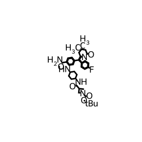 CC1(C)CC(=O)n2c(c(-c3ccc(C(N)=O)c(N[C@H]4CC[C@H](NC(=O)C5CN(C(=O)OC(C)(C)C)C5)CC4)c3)c3ccc(F)cc32)C1